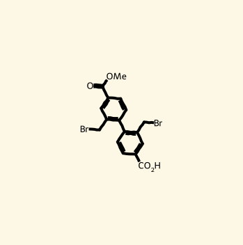 COC(=O)c1ccc(-c2ccc(C(=O)O)cc2CBr)c(CBr)c1